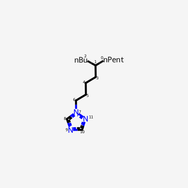 CCCCCC(CCCC)CCCCn1cncn1